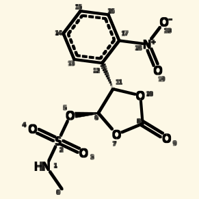 CNS(=O)(=O)O[C@@H]1OC(=O)O[C@H]1c1ccccc1[N+](=O)[O-]